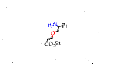 CCOC(=O)CCOC[C@@H](N)C(C)C